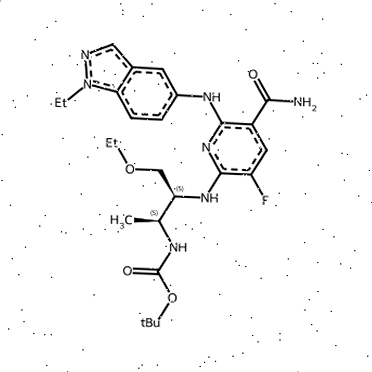 CCOC[C@@H](Nc1nc(Nc2ccc3c(cnn3CC)c2)c(C(N)=O)cc1F)[C@H](C)NC(=O)OC(C)(C)C